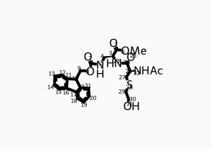 COC(=O)[C@H](CNC(=O)OCC1c2ccccc2-c2ccccc21)NC(=O)[C@H](CSCCO)NC(C)=O